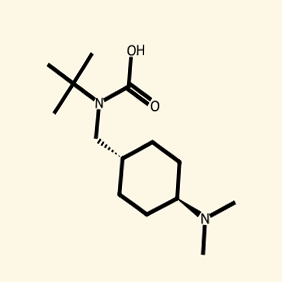 CN(C)[C@H]1CC[C@H](CN(C(=O)O)C(C)(C)C)CC1